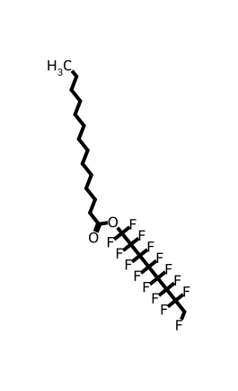 CCCCCCCCCCCCCC(=O)OC(F)(F)C(F)(F)C(F)(F)C(F)(F)C(F)(F)C(F)(F)C(F)(F)CF